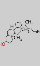 CC(C)CCC[C@@H](C)C1CCC2[C@@H]3CC=C4CC(O)CCC4(C)C3CC[C@@]21C